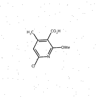 COc1nc(Cl)cc(C)c1C(=O)O